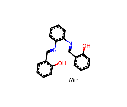 Oc1ccccc1C=Nc1ccccc1N=Cc1ccccc1O.[Mn]